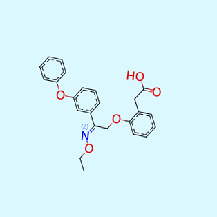 CCO/N=C(\COc1ccccc1CC(=O)O)c1cccc(Oc2ccccc2)c1